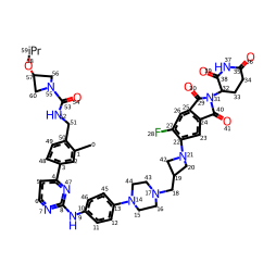 Cc1cc(-c2ccnc(Nc3ccc(N4CCN(CC5CN(c6cc7c(cc6F)C(=O)N(C6CCC(=O)NC6=O)C7=O)C5)CC4)cc3)n2)ccc1CNC(=O)N1CC(OC(C)C)C1